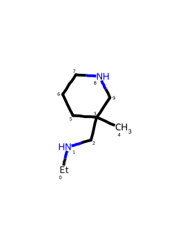 CCNCC1(C)CCCNC1